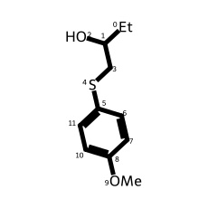 CCC(O)CSc1ccc(OC)cc1